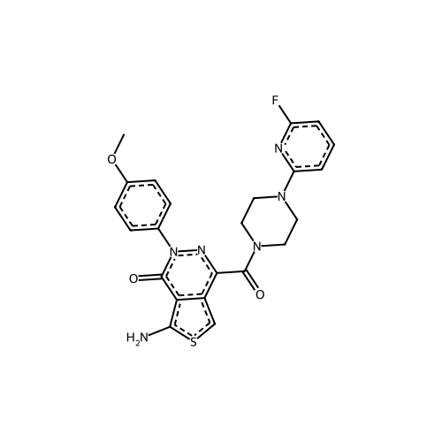 COc1ccc(-n2nc(C(=O)N3CCN(c4cccc(F)n4)CC3)c3csc(N)c3c2=O)cc1